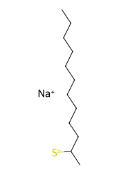 CCCCCCCCCCC(C)[S-].[Na+]